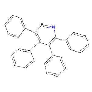 b1nc(-c2ccccc2)c(-c2ccccc2)c(-c2ccccc2)c1-c1ccccc1